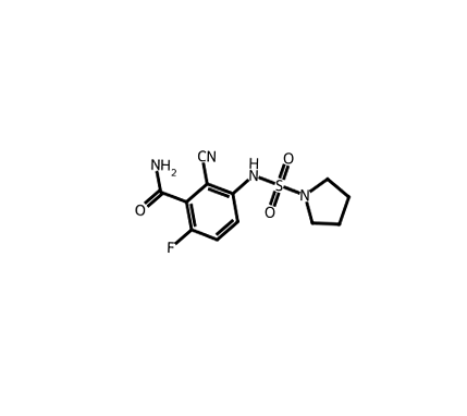 N#Cc1c(NS(=O)(=O)N2CCCC2)ccc(F)c1C(N)=O